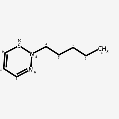 CCCCCN1N=CC=CS1